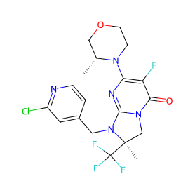 C[C@@H]1COCCN1c1nc2n(c(=O)c1F)C[C@@](C)(C(F)(F)F)N2Cc1ccnc(Cl)c1